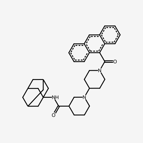 O=C(NC12CC3CC(CC(C3)C1)C2)C1CCCN(C2CCN(C(=O)c3c4ccccc4cc4ccccc34)CC2)C1